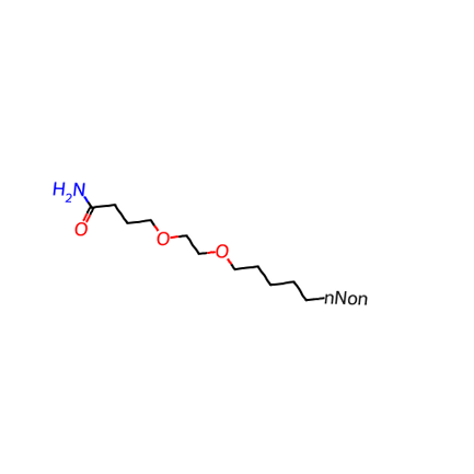 CCCCCCCCCCCCCCOCCOCCCC(N)=O